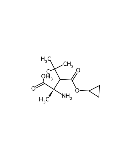 CC(C)(C)C(C(=O)OC1CC1)[C@](C)(N)C(=O)O